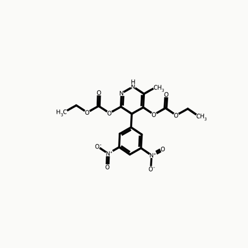 CCOC(=O)OC1=NNC(C)=C(OC(=O)OCC)C1c1cc([N+](=O)[O-])cc([N+](=O)[O-])c1